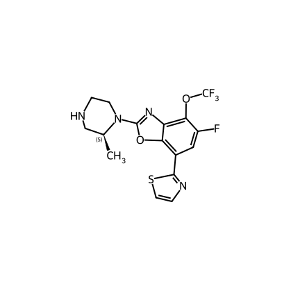 C[C@H]1CNCCN1c1nc2c(OC(F)(F)F)c(F)cc(-c3nccs3)c2o1